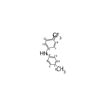 Cc1ccc(Nc2ccc(C(F)(F)F)cc2)cc1